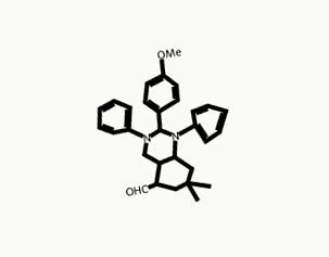 COc1ccc(C2N(c3ccccc3)CC3C(C=O)CC(C)(C)CC3N2c2ccccc2)cc1